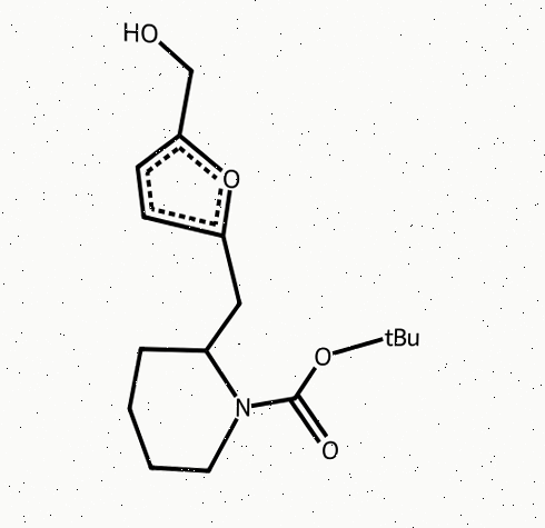 CC(C)(C)OC(=O)N1CCCCC1Cc1ccc(CO)o1